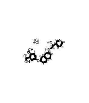 COc1ccc(Oc2ccc3c(c2)C[C@@H](NC[C@@H](O)c2cccnc2)CC3)cc1C(=O)O.Cl.Cl